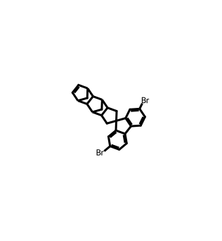 Brc1ccc2c(c1)C1(CC3C(C1)C1CC3C3C4C=CC(C4)C13)c1cc(Br)ccc1-2